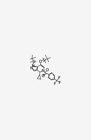 CC(C)(C)[Si](C)(C)OC1=CN(S(=O)(=O)c2ccc(C(F)(F)F)cc2)C(C2CC2)c2cnn([Si](C)(C)C(C)(C)C)c21